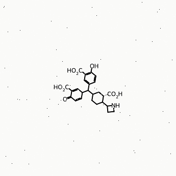 O=C(O)C1=CC(C(c2ccc(O)c(C(=O)O)c2)C2CCC(C3CCN3)[C@@H](C(=O)O)C2)C=CC1=O